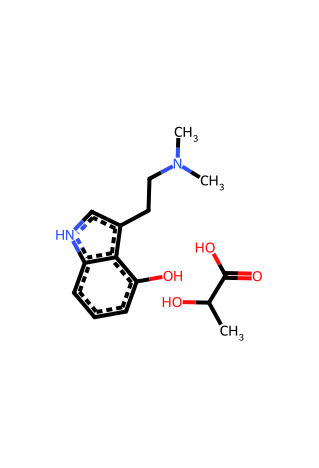 CC(O)C(=O)O.CN(C)CCc1c[nH]c2cccc(O)c12